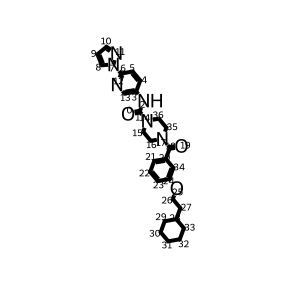 O=C(Nc1ccc(-n2cccn2)nc1)N1CCN(C(=O)c2cccc(OCCC3CCCCC3)c2)CC1